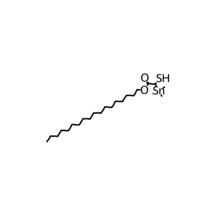 CCCCCCCCCCCCCCCCCCOC(=O)[CH](S)[Sn]([CH3])([CH3])[CH3]